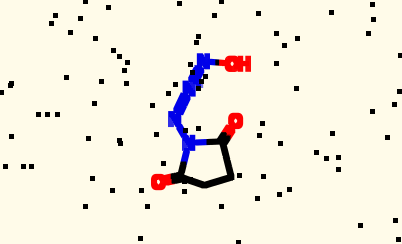 O=C1CCC(=O)N1N=[N+]=NO